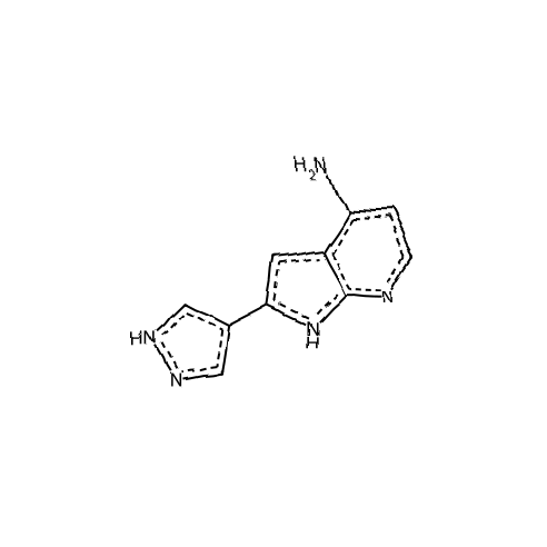 Nc1ccnc2[nH]c(-c3cn[nH]c3)cc12